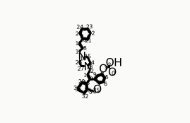 O=C(O)Oc1ccc2c(c1)C(=CCN1CCN(CC=Cc3ccccc3)CC1)c1ccccc1CO2